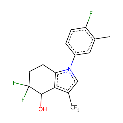 Cc1cc(-n2cc(C(F)(F)F)c3c2CCC(F)(F)C3O)ccc1F